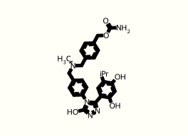 CC(C)c1cc(-c2nnc(O)n2-c2ccc(CN(C)Cc3ccc(COC(N)=O)cc3)cc2)c(O)cc1O